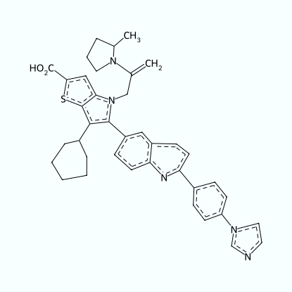 C=C(Cn1c(-c2ccc3nc(-c4ccc(-n5ccnc5)cc4)ccc3c2)c(C2CCCCC2)c2sc(C(=O)O)cc21)N1CCCC1C